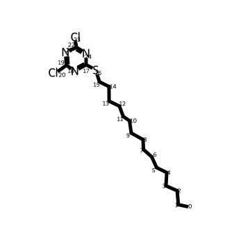 CCCCCCCCCCCCCCCCSc1nc(Cl)nc(Cl)n1